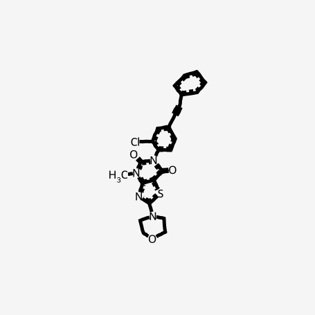 Cn1c(=O)n(-c2ccc(C#Cc3ccccc3)cc2Cl)c(=O)c2sc(N3CCOCC3)nc21